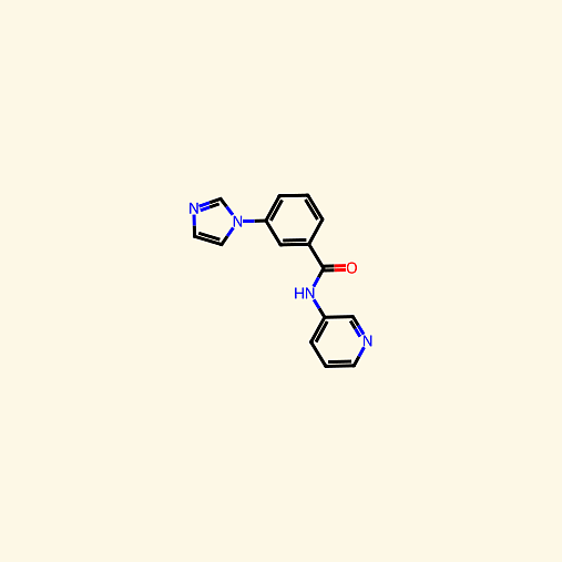 O=C(Nc1cccnc1)c1cccc(-n2ccnc2)c1